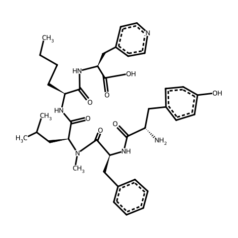 CCCC[C@H](NC(=O)[C@H](CC(C)C)N(C)C(=O)[C@H](Cc1ccccc1)NC(=O)[C@@H](N)Cc1ccc(O)cc1)C(=O)N[C@@H](Cc1ccncc1)C(=O)O